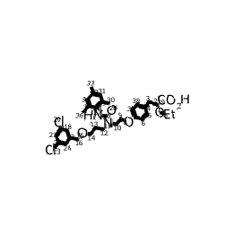 CCOC(Cc1ccc(OCCN(CCCOCc2cc(Cl)cc(Cl)c2)C(=O)Nc2c(C)cc(C)cc2C)cc1)C(=O)O